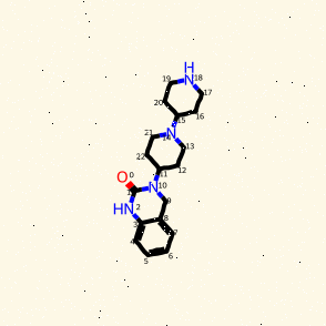 O=C1Nc2ccccc2CN1C1CCN(C2CCNCC2)CC1